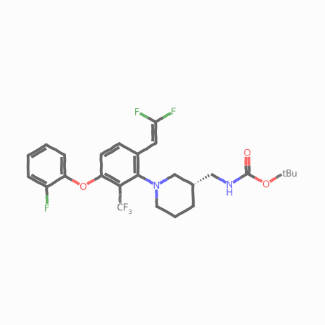 CC(C)(C)OC(=O)NC[C@@H]1CCCN(c2c(C=C(F)F)ccc(Oc3ccccc3F)c2C(F)(F)F)C1